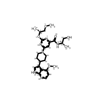 COC[C@H](C)Oc1nc(C(=O)N[C@H](C)CO)cc(N2CCC(c3c[nH]c4nccc(OC)c34)CC2)n1